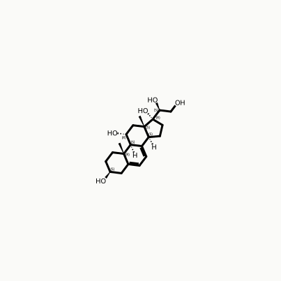 C[C@]12CC[C@H](O)CC1=CC=C1[C@@H]2[C@H](O)C[C@@]2(C)[C@H]1CC[C@]2(O)[C@@H](O)CO